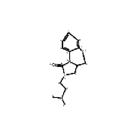 CN(C)CCN1CC2CSc3ccccc3N2C1=O